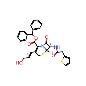 O=C(Cc1cccs1)N[C@@H]1C(=O)N2C(C(=O)OC(c3ccccc3)c3ccccc3)=C(/C=C/CO)CS[C@H]12